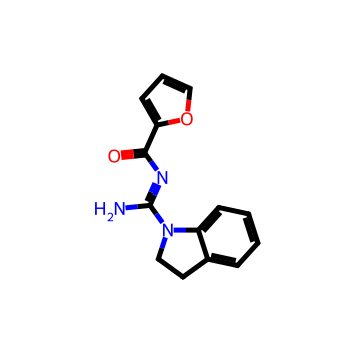 NC(=NC(=O)c1ccco1)N1CCc2ccccc21